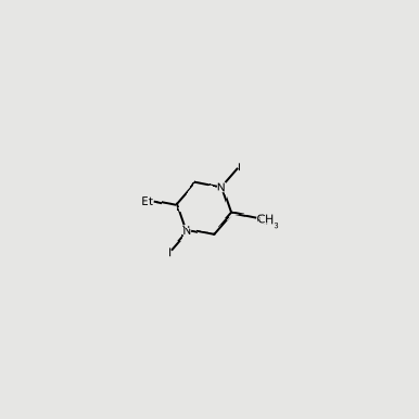 CCC1CN(I)C(C)CN1I